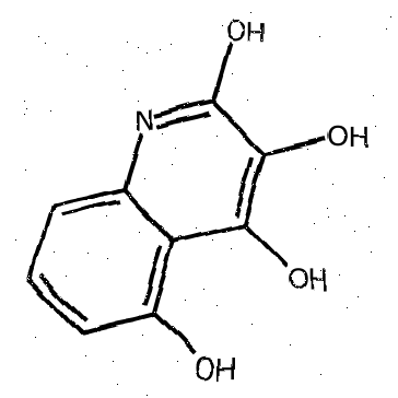 Oc1nc2cccc(O)c2c(O)c1O